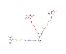 C=C(O)[C@H](CCCCNC(=O)COCCOCCOCCO[C@@H]1O[C@H](CO)[C@H](O)[C@H](O)[C@H]1NC(C)=O)NC(=O)[C@H](CCCCNC(=O)COCCOCCOCCO[C@@H]1O[C@H](CO)[C@H](O)[C@H](O)[C@H]1NC(C)=O)NC(=O)COCCOCCOCCO[C@@H]1O[C@H](CO)[C@H](O)[C@H](O)[C@H]1NC(C)=O